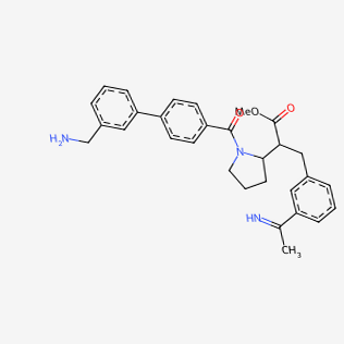 COC(=O)C(Cc1cccc(C(C)=N)c1)C1CCCN1C(=O)c1ccc(-c2cccc(CN)c2)cc1